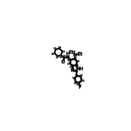 CCN(CC)c1cc2[nH]c(-c3ccc(F)cc3)nc2cc1NC(=O)C1CCCCC1